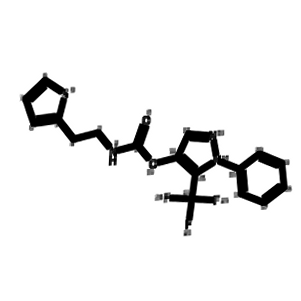 O=C(NCCc1cccs1)Oc1cnn(-c2ccccc2)c1C(F)(F)F